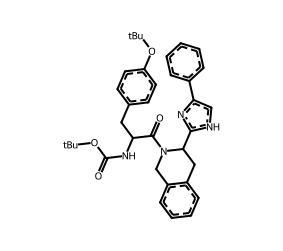 CC(C)(C)OC(=O)NC(Cc1ccc(OC(C)(C)C)cc1)C(=O)N1Cc2ccccc2CC1c1nc(-c2ccccc2)c[nH]1